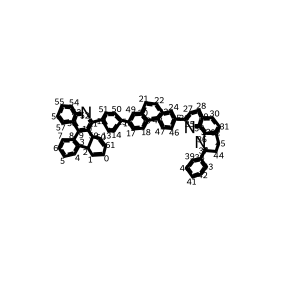 C1=CC2c3ccccc3-c3c(c(-c4ccc(-c5ccc6c(ccc7cc(-c8ccc9ccc%10c(c9n8)N=C(c8ccccc8)CC%10)ccc76)c5)cc4)nc4ccccc34)C2C=C1